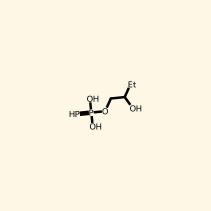 CCC(O)COP(O)(O)=P